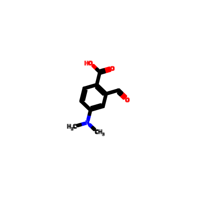 CN(C)c1ccc(C(=O)O)c(C=O)c1